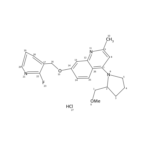 COCC1CCCN1c1cc(C)nc2cc(OCc3cccnc3F)ccc12.Cl